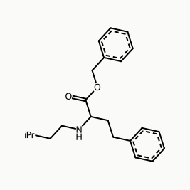 CC(C)CCNC(CCc1ccccc1)C(=O)OCc1ccccc1